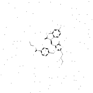 CCCCc1nc(Cl)c(C=C2C(=O)Nc3cc(C)ccc32)n1Cc1ccc(C(=O)OCC)cc1